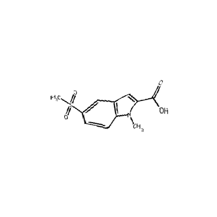 Cn1c(C(=O)O)cc2cc(S(C)(=O)=O)ccc21